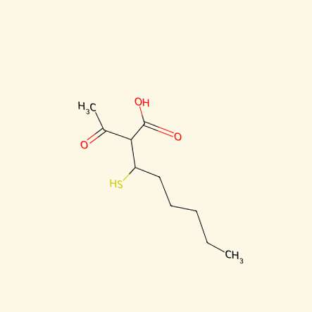 CCCCCC(S)C(C(C)=O)C(=O)O